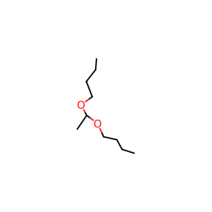 CCCCOC(C)OCCCC